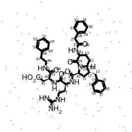 N=C(N)NCC[C@H](NC(=O)[C@@H]1C[C@@H](Cc2ccccc2)[C@@H]2CCC(NC(=O)Cc3ccccc3)C(=O)N12)C(=O)N[C@@H](CC(=O)O)C(=O)NCCc1ccccc1